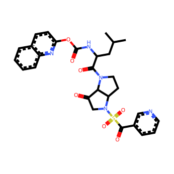 CC(C)CC(NC(=O)Oc1ccc2ccccc2n1)C(=O)N1CCC2C1C(=O)CN2S(=O)(=O)C(=O)c1cccnc1